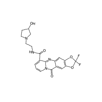 O=C(NCCN1CCC(O)C1)c1cccn2c(=O)c3cc4c(cc3nc12)OC(F)(F)O4